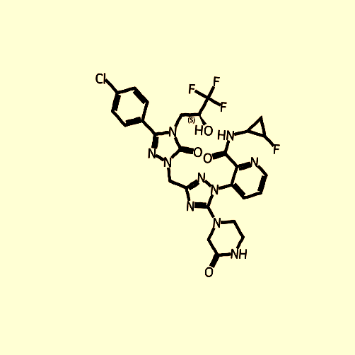 O=C1CN(c2nc(Cn3nc(-c4ccc(Cl)cc4)n(C[C@H](O)C(F)(F)F)c3=O)nn2-c2cccnc2C(=O)NC2CC2F)CCN1